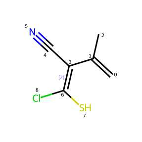 C=C(C)/C(C#N)=C(\S)Cl